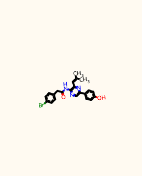 CC(C)=Cc1nc(-c2ccc(O)cc2)cnc1NC(=O)Cc1ccc(Br)cc1